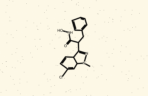 CN1N=C(C(Cc2ccccc2)C(=O)NO)C2C=CC(Cl)=CC21